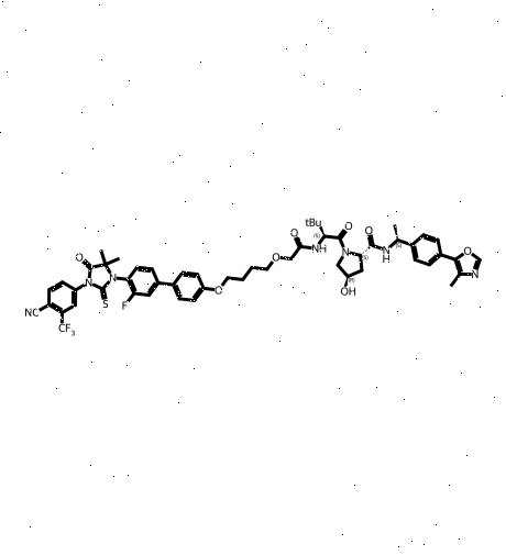 Cc1ncoc1-c1ccc([C@H](C)NC(=O)[C@@H]2C[C@@H](O)CN2C(=O)[C@@H](NC(=O)COCCCCOc2ccc(-c3ccc(N4C(=S)N(c5ccc(C#N)c(C(F)(F)F)c5)C(=O)C4(C)C)c(F)c3)cc2)C(C)(C)C)cc1